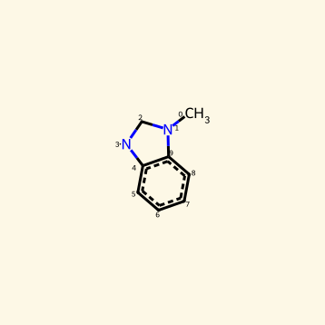 CN1C[N]c2ccccc21